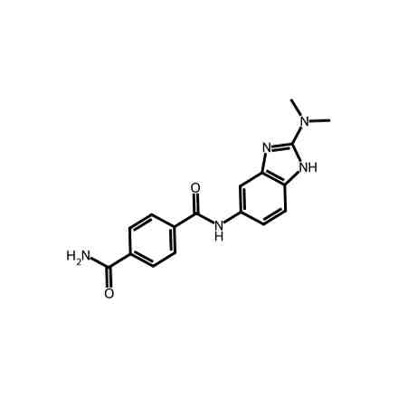 CN(C)c1nc2cc(NC(=O)c3ccc(C(N)=O)cc3)ccc2[nH]1